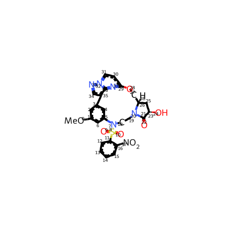 COc1cc2cc(c1)N(S(=O)(=O)c1ccccc1[N+](=O)[O-])CCN1C(=O)[C@H](O)C[C@H]1COc1ccn3ncc-2c3n1